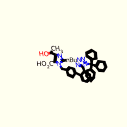 CCCCc1nc(C(C)O)c(C(=O)O)n1Cc1ccc(-c2ccccc2-c2nnnn2C(c2ccccc2)(c2ccccc2)c2ccccc2)cc1